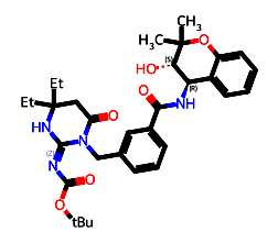 CCC1(CC)CC(=O)N(Cc2cccc(C(=O)N[C@@H]3c4ccccc4OC(C)(C)[C@H]3O)c2)/C(=N\C(=O)OC(C)(C)C)N1